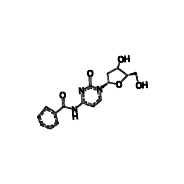 O=C(Nc1ccn([C@H]2CC(O)[C@@H](CO)O2)c(=O)n1)c1ccccc1